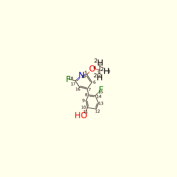 [2H]C([2H])([2H])Oc1cc(-c2cc(O)ccc2F)cc(F)n1